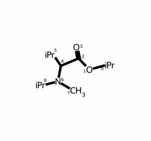 CC(C)OC(=O)C(C(C)C)N(C)C(C)C